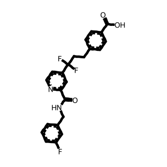 O=C(O)c1ccc(CCC(F)(F)c2ccnc(C(=O)NCc3cccc(F)c3)c2)cc1